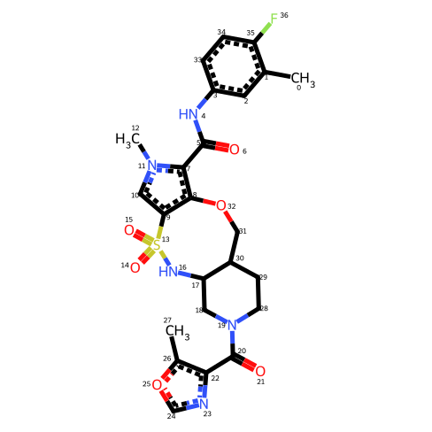 Cc1cc(NC(=O)c2c3c(cn2C)S(=O)(=O)NC2CN(C(=O)c4ncoc4C)CCC2CO3)ccc1F